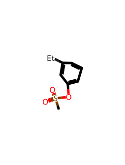 CCc1cccc(OS(C)(=O)=O)c1